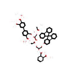 C=CC(=O)OCC(COc1ccc2c(c1)C1(c3ccccc3-2)c2ccccc2-c2ccc(OCC(COC(=O)C=C)OC(=O)C3CC=CCC3C(=O)O)cc21)OC(=O)c1cc(-c2ccc(C(=O)OC)c(C(=O)O)c2)ccc1C(=O)O